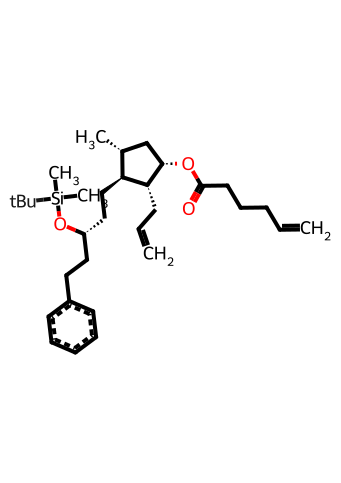 C=CCCCC(=O)O[C@H]1C[C@@H](C)[C@H](CC[C@H](CCc2ccccc2)O[Si](C)(C)C(C)(C)C)[C@H]1CC=C